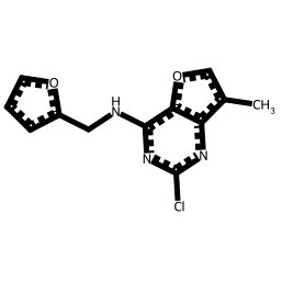 Cc1coc2c(NCc3ccco3)nc(Cl)nc12